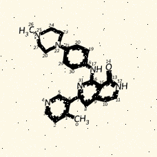 Cc1ccncc1-c1cc2cc[nH]c(=O)c2c(Nc2ccc(N3CCN(C)CC3)cc2)n1